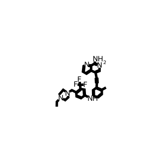 CCN1CCN(Cc2ccc(Nc3ccc(C)c(C#Cc4cnc(N)c5ncccc45)c3)cc2C(F)(F)F)CC1